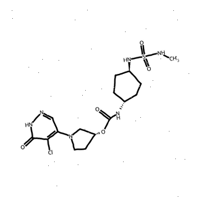 CNS(=O)(=O)N[C@H]1CC[C@H](NC(=O)O[C@@H]2CCN(c3cn[nH]c(=O)c3Cl)C2)CC1